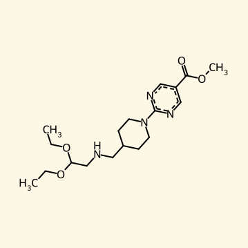 CCOC(CNCC1CCN(c2ncc(C(=O)OC)cn2)CC1)OCC